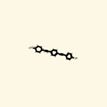 CCCc1ccc(C#Cc2ccc(C#CC3CCC(CCC)CC3)cc2)cc1